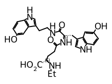 CCN[C@@H](CCC(=O)N[C@@H](Cc1c[nH]c2ccc(O)cc12)C(=O)NCCc1c[nH]c2ccc(O)cc12)C(=O)O